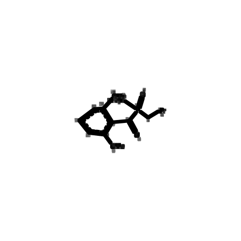 CCCCCCCP(=O)(CC(C)C)C(=O)c1c(OC)cccc1OC